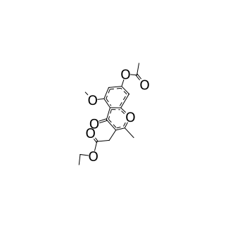 CCOC(=O)Cc1c(C)oc2cc(OC(C)=O)cc(OC)c2c1=O